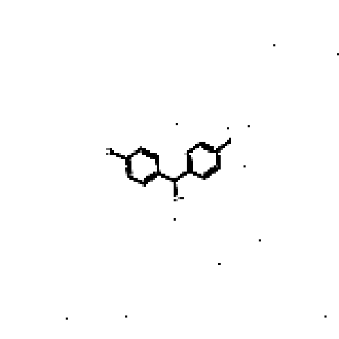 OC(c1ccc(F)cc1)c1ccc(Cl)cc1